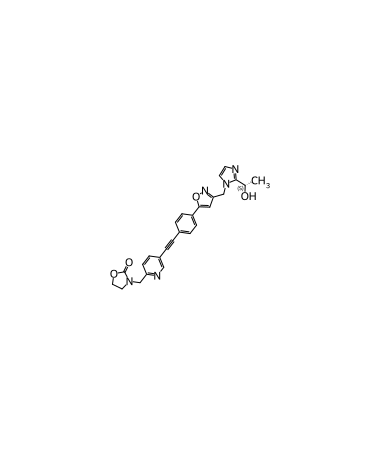 C[C@H](O)c1nccn1Cc1cc(-c2ccc(C#Cc3ccc(CN4CCOC4=O)nc3)cc2)on1